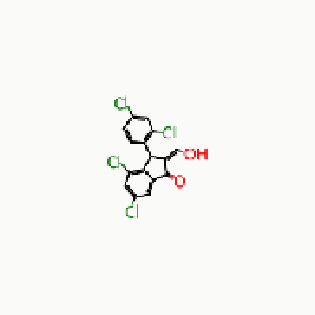 O=C1C(=CO)C(c2ccc(Cl)cc2Cl)c2c(Cl)cc(Cl)cc21